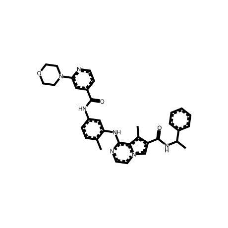 Cc1ccc(NC(=O)c2ccnc(N3CCOCC3)c2)cc1Nc1nccn2cc(C(=O)NC(C)c3ccccc3)c(C)c12